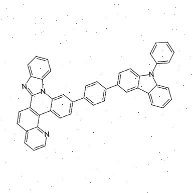 c1ccc(-n2c3ccccc3c3cc(-c4ccc(-c5ccc6c7c(ccc8cccnc87)c7nc8ccccc8n7c6c5)cc4)ccc32)cc1